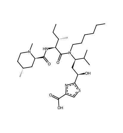 CCCCCCN(C(=O)[C@@H](NC(=O)[C@H]1C[C@H](C)CCN1C)[C@@H](C)CC)[C@H](C[C@@H](O)c1nc(C(=O)O)cs1)C(C)C